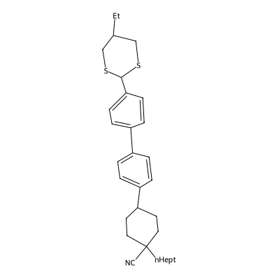 CCCCCCCC1(C#N)CCC(c2ccc(-c3ccc(C4SCC(CC)CS4)cc3)cc2)CC1